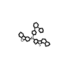 c1ccc(-c2ccccc2-c2ccc(N(c3ccc4oc5ccccc5c4c3)c3ccc4sc5c6ccccc6ccc5c4c3)cc2)cc1